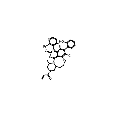 C=CC(=O)N1CC(C)N2c3nc(=O)n(-c4c(C)ccnc4C(C)C)c4c(F)c(-c5ccccc5O)c(Cl)c(c34)OCCC2C1